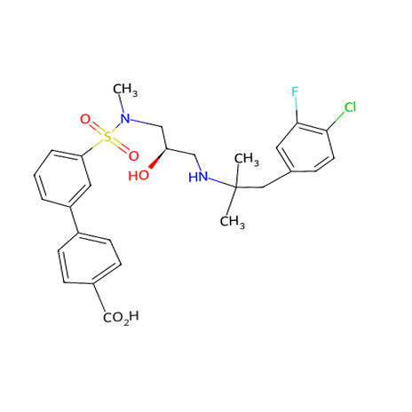 CN(C[C@H](O)CNC(C)(C)Cc1ccc(Cl)c(F)c1)S(=O)(=O)c1cccc(-c2ccc(C(=O)O)cc2)c1